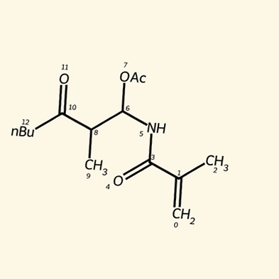 C=C(C)C(=O)NC(OC(C)=O)C(C)C(=O)CCCC